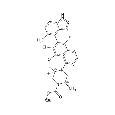 Cc1ccc2[nH]cnc2c1-c1c(Cl)c2c3c(ncnc3c1F)N1C[C@@H](C)N(C(=O)OC(C)(C)C)C[C@H]1CO2